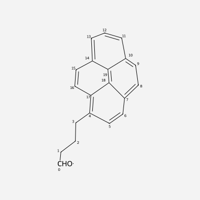 O=[C]CCCc1ccc2ccc3cccc4ccc1c2c34